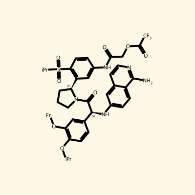 CCOc1cc([C@H](Nc2ccc3c(N)nccc3c2)C(=O)N2CCC[C@H]2c2cc(NC(=O)COC(=O)C(F)(F)F)ccc2S(=O)(=O)C(C)C)ccc1OC(C)C